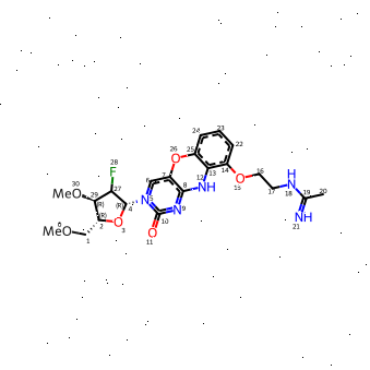 COC[C@H]1O[C@@H](n2cc3c(nc2=O)Nc2c(OCCNC(C)=N)cccc2O3)C(F)[C@@H]1OC